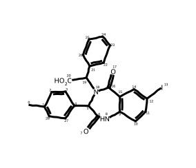 Cc1ccc(C2C(=O)Nc3ccc(I)cc3C(=O)N2C(C(=O)O)c2ccccc2)cc1